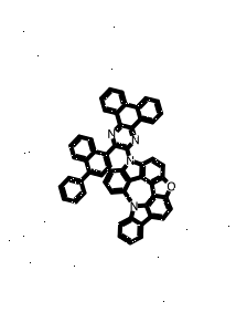 c1ccc(-c2ccc(-c3nc4c5ccccc5c5ccccc5c4nc3-n3c4ccc5oc6ccc7c8ccccc8n8c9cccc3c9c4c5c6c78)c3ccccc23)cc1